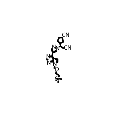 C[Si](C)(C)CCOCn1ccc2c(-c3cnn(C(CC#N)C4CCC(C#N)C4)c3)ncnc21